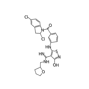 N=C(NCC1CCCO1)c1c(O)nsc1Nc1cccc(C(=O)N2c3ccc(Cl)cc3CC2Cl)c1